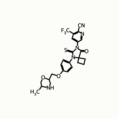 CC1COC(COc2ccc(N3C(=S)N(c4cnc(C#N)c(C(F)(F)F)c4)C(=O)C34CCC4)cc2)CN1